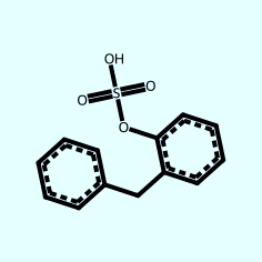 O=S(=O)(O)Oc1ccccc1Cc1ccccc1